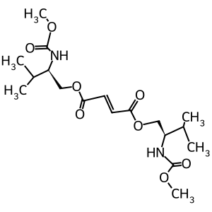 COC(=O)N[C@@H](COC(=O)/C=C/C(=O)OC[C@H](NC(=O)OC)C(C)C)C(C)C